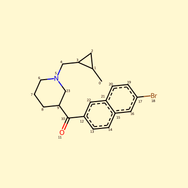 CC1CC1CN1CCCC(C(=O)c2ccc3cc(Br)ccc3c2)C1